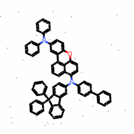 c1ccc(-c2ccc(N(c3ccc4c(c3)-c3ccccc3C4(c3ccccc3)c3ccccc3)c3ccc4c5c(cccc35)-c3cc(N(c5ccccc5)c5ccccc5)ccc3O4)cc2)cc1